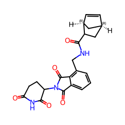 O=C1CCC(N2C(=O)c3cccc(CNC(=O)C4C[C@@H]5C=C[C@H]4C5)c3C2=O)C(=O)N1